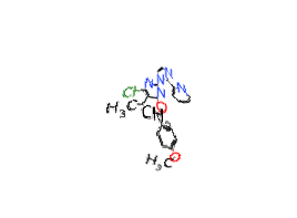 COc1ccc(COc2nc(-n3ccnc3-c3ccccn3)nc(Cl)c2C(C)C)cc1